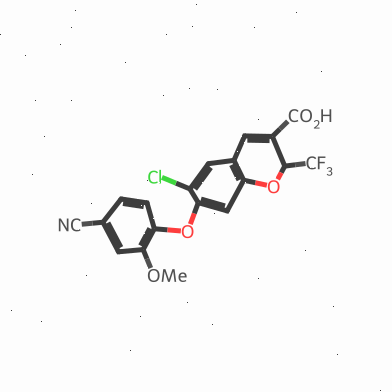 COc1cc(C#N)ccc1Oc1cc2c(cc1Cl)C=C(C(=O)O)C(C(F)(F)F)O2